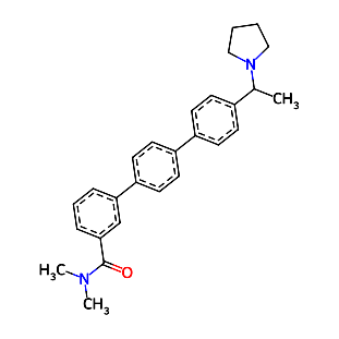 CC(c1ccc(-c2ccc(-c3cccc(C(=O)N(C)C)c3)cc2)cc1)N1CCCC1